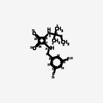 CCC(C)(C)Nc1c(NCc2cc(F)cc(F)c2)c(=O)c1=O